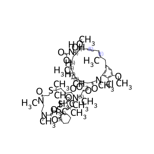 COc1cc2cc(c1Cl)N(C)C(=O)C[C@H](OC(=O)[C@H](C)N(C)C(=O)CCC(C)(C)SCC(=O)N(C)CCN(C)C(=O)O[C@H]1CCCC[C@@H]1SSC(=O)C(C)(C)C)[C@@]1(C)C[C@H]1[C@H](C)[C@@H]1C[C@@](O)(NC(=O)O1)[C@H](OC)/C=C/C=C(\C)C2